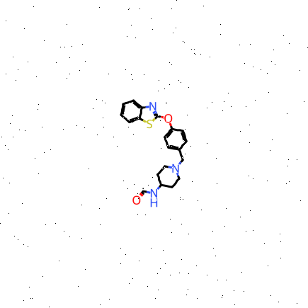 O=[C]NC1CCN(Cc2ccc(Oc3nc4ccccc4s3)cc2)CC1